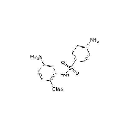 COc1ccc(S(=O)(=O)O)cc1NS(=O)(=O)c1ccc(N)cc1